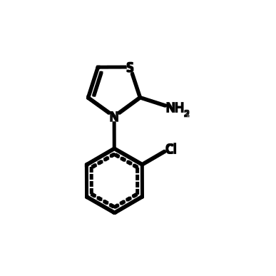 NC1SC=CN1c1ccccc1Cl